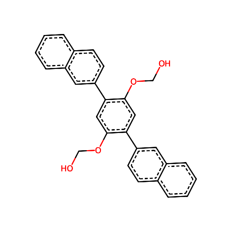 OCOc1cc(-c2ccc3ccccc3c2)c(OCO)cc1-c1ccc2ccccc2c1